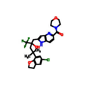 CC(C)(CC(O)(Cc1cc2nc(C(=O)N3CCOCC3)ccc2[nH]1)C(F)(F)F)c1cc(Cl)cc2c1OCC2